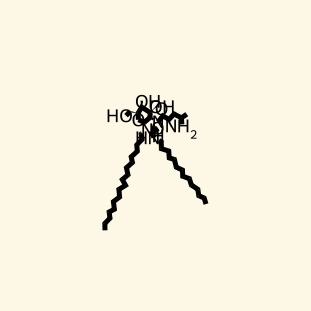 CCCCCCCCCCCCCCCCCCN(C(=O)NCCCCCCCCCCCCCC)[C@@H]1O[C@H](CO)[C@@H](O)[C@H](O)[C@H]1NC(=O)[C@@H](N)CC(C)C